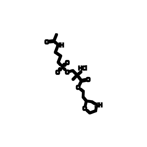 CC(=O)NCCCS(=O)(=O)OCC(C)(C)C(=O)OCCC1CNCCO1.Cl